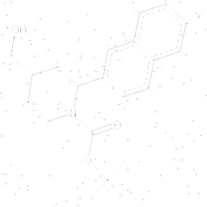 CC(C)(C)OC(=O)N1CCC(CO)CC1c1ccc2ccccc2c1